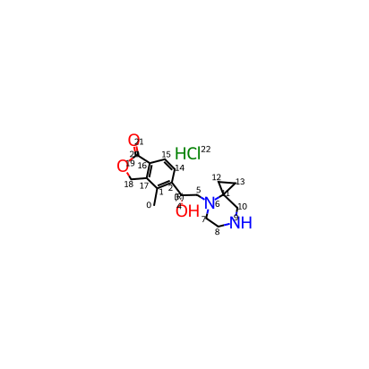 Cc1c([C@@H](O)CN2CCNCC23CC3)ccc2c1COC2=O.Cl